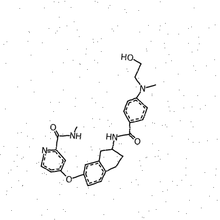 CNC(=O)c1cc(Oc2ccc3c(c2)CC(NC(=O)c2ccc(N(C)CCO)cc2)CC3)ccn1